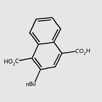 CCCCc1cc(C(=O)O)c2ccccc2c1C(=O)O